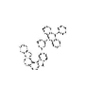 c1ccc(-c2c3ccccc3c(-c3cccc(-c4ccc5sc6ccc7ccc8c9ccccc9sc8c7c6c5c4)c3)c3ccccc23)cc1